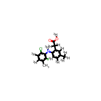 [2H]OC(=O)C([2H])([2H])c1c([2H])c(C([2H])([2H])[2H])c([2H])c([2H])c1N([2H])c1c(F)c(C)c([2H])c([2H])c1Cl